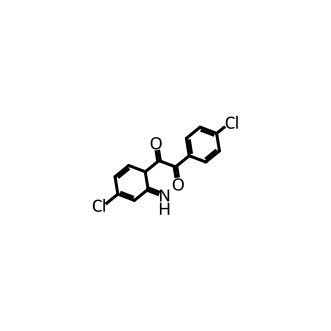 N=C1C=C(Cl)C=CC1C(=O)C(=O)c1ccc(Cl)cc1